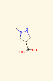 CN1CC(B(O)O)CN1